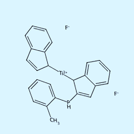 Cc1ccccc1PC1=Cc2ccccc2[CH]1[Ti+2][CH]1C=Cc2ccccc21.[F-].[F-]